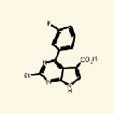 CCc1nc(-c2cccc(F)c2)c2c(C(=O)O)c[nH]c2n1